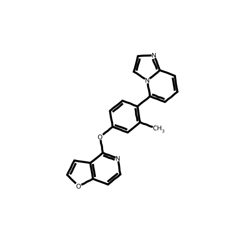 Cc1cc(Oc2nccc3occc23)ccc1-c1cccc2nccn12